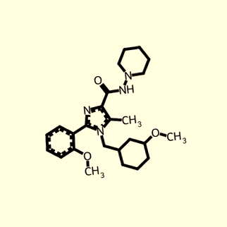 COc1ccccc1-c1nc(C(=O)NN2CCCCC2)c(C)n1CC1CCCC(OC)C1